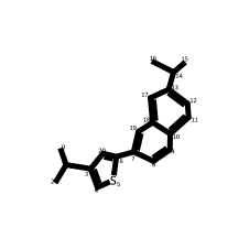 CC(C)c1csc(-c2ccc3ccc(C(C)C)cc3c2)c1